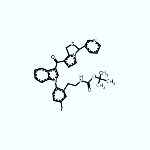 CC(C)(C)OC(=O)NCCc1cc(F)ccc1-n1cc(C(=O)c2ccn3c2CSC3c2cccnc2)c2ccccc21